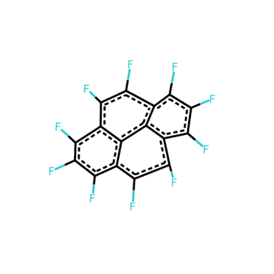 Fc1c(F)c2c(F)c(F)c3c(F)c(F)c(F)c4c(F)c(F)c(c1F)c2c34